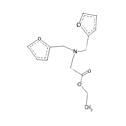 CCOC(=O)CN(Cc1ccco1)Cc1ccco1